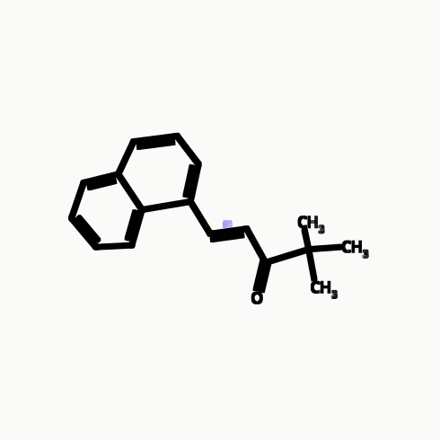 CC(C)(C)C(=O)/C=C/c1cccc2ccccc12